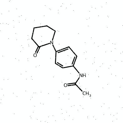 CC(=O)Nc1ccc(N2CCCCC2=O)cc1